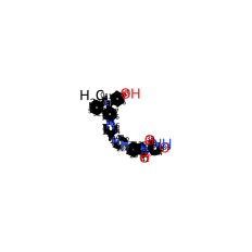 CC/C(=C(\c1ccc(O)cc1)c1ccc(N2CCC(CN3CCN(c4ccc5c(c4)CN([C@H]4CCC(=O)NC4=O)C5=O)CC3)CC2)cc1)c1ccccc1